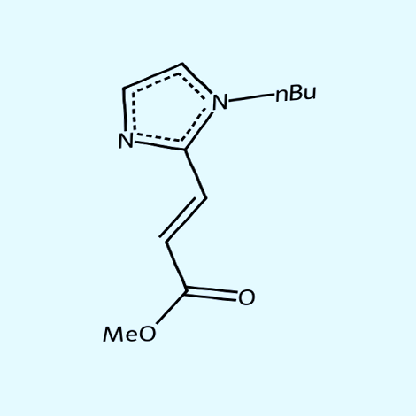 CCCCn1ccnc1/C=C/C(=O)OC